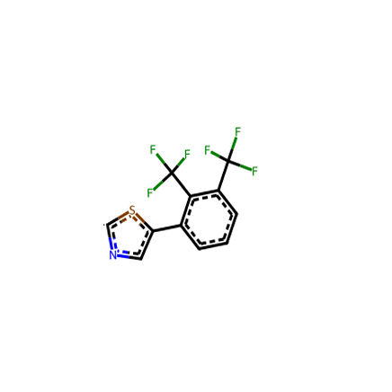 FC(F)(F)c1cccc(-c2cn[c]s2)c1C(F)(F)F